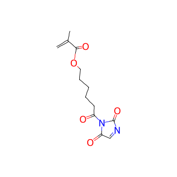 C=C(C)C(=O)OCCCCCC(=O)N1C(=O)C=NC1=O